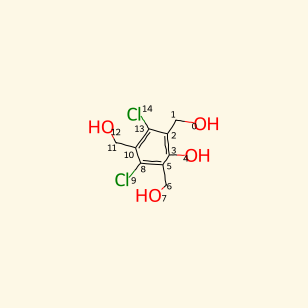 OCc1c(O)c(CO)c(Cl)c(CO)c1Cl